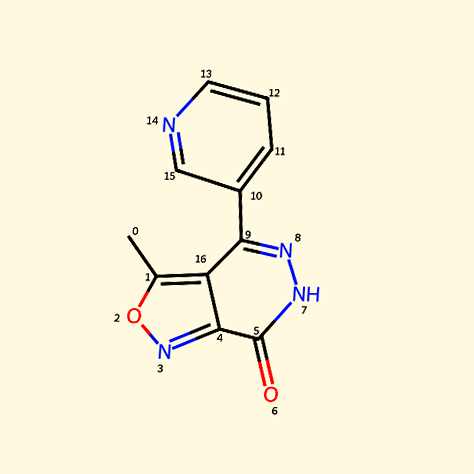 Cc1onc2c(=O)[nH]nc(-c3cccnc3)c12